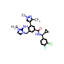 CCn1cc(-c2cc(Cn3ccn(C)c3=N)cc(C(=O)NC(c3ccc(F)c(Cl)c3)C3CC3)c2)c(C(F)(F)F)n1